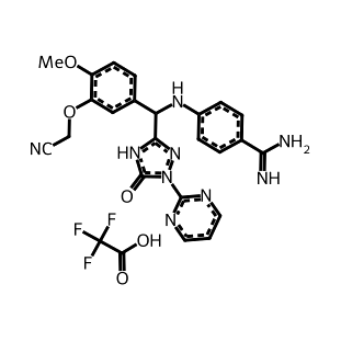 COc1ccc(C(Nc2ccc(C(=N)N)cc2)c2nn(-c3ncccn3)c(=O)[nH]2)cc1OCC#N.O=C(O)C(F)(F)F